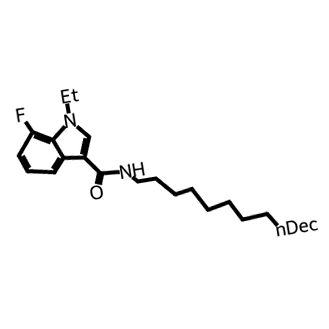 CCCCCCCCCCCCCCCCCCNC(=O)c1cn(CC)c2c(F)cccc12